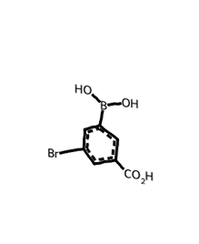 O=C(O)c1cc(Br)cc(B(O)O)c1